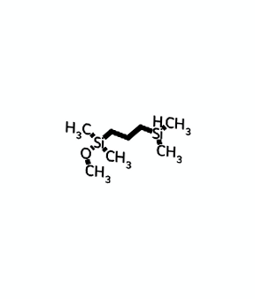 CO[Si](C)(C)CCC[SiH](C)C